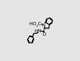 O=C(NCCc1ccccc1)[C@@H]1Cc2ccccc2N1C(=O)O